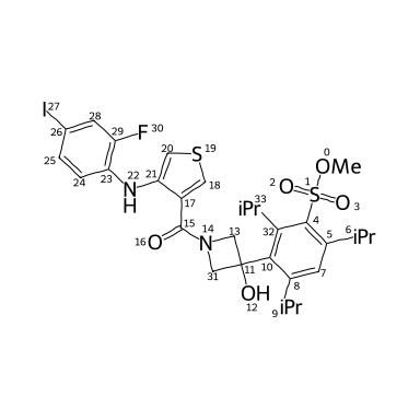 COS(=O)(=O)c1c(C(C)C)cc(C(C)C)c(C2(O)CN(C(=O)c3cscc3Nc3ccc(I)cc3F)C2)c1C(C)C